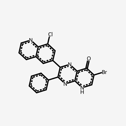 O=c1c(Br)c[nH]c2nc(-c3ccccc3)c(-c3cc(Cl)c4ncccc4c3)nc12